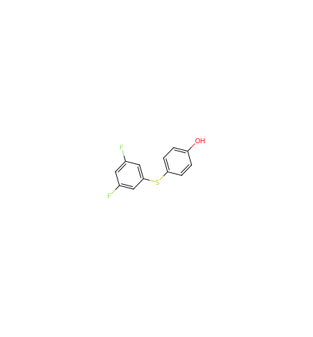 Oc1ccc(Sc2cc(F)cc(F)c2)cc1